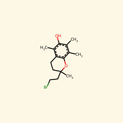 Cc1c(C)c2c(c(C)c1O)CCC(C)(CCBr)O2